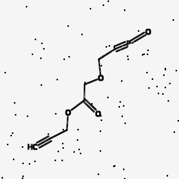 C#CCOC(=O)COCC#P=O